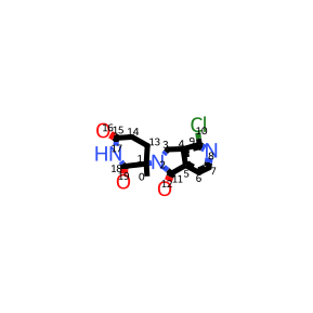 CC1(N2Cc3c(ccnc3Cl)C2=O)CCC(=O)NC1=O